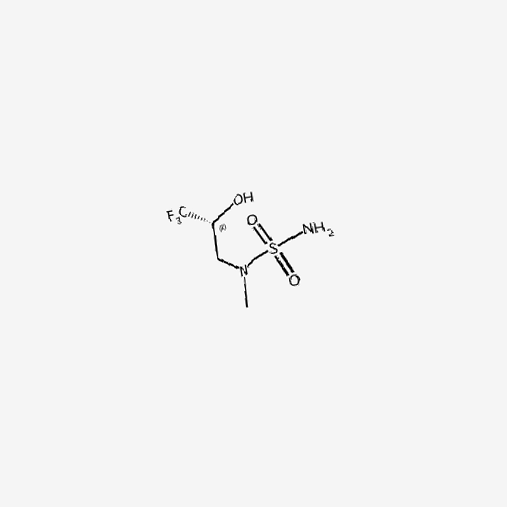 CN(C[C@@H](O)C(F)(F)F)S(N)(=O)=O